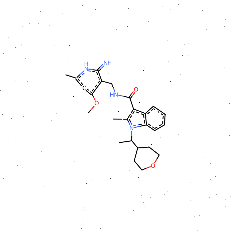 COc1cc(C)[nH]c(=N)c1CNC(=O)c1c(C)n(C(C)C2CCOCC2)c2ccccc12